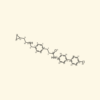 O=C(CCc1ccc(CNCCC2CC2)cc1)Nc1ccc(-c2ccc(Cl)cc2)cc1